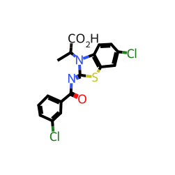 CC(C(=O)O)n1/c(=N/C(=O)c2cccc(Cl)c2)sc2cc(Cl)ccc21